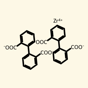 O=C([O-])c1ccccc1-c1ccccc1C(=O)[O-].O=C([O-])c1ccccc1-c1ccccc1C(=O)[O-].[Zr+4]